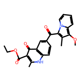 CCOC(=O)c1c(C)[nH]c2ccc(C(=O)c3c(C)c(OC)c4ccccn34)cc2c1=O